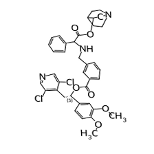 COc1ccc([C@H](Cc2c(Cl)cncc2Cl)OC(=O)c2cccc(CNC(C(=O)OC3CN4CCC3CC4)c3ccccc3)c2)cc1OC